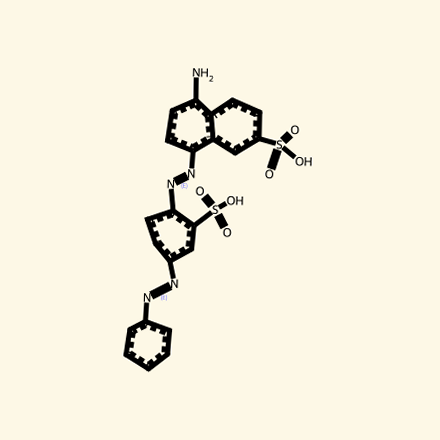 Nc1ccc(/N=N/c2ccc(/N=N/c3ccccc3)cc2S(=O)(=O)O)c2cc(S(=O)(=O)O)ccc12